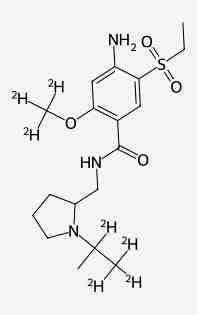 [2H]C([2H])([2H])Oc1cc(N)c(S(=O)(=O)CC)cc1C(=O)NCC1CCCN1C([2H])(C)C([2H])([2H])[2H]